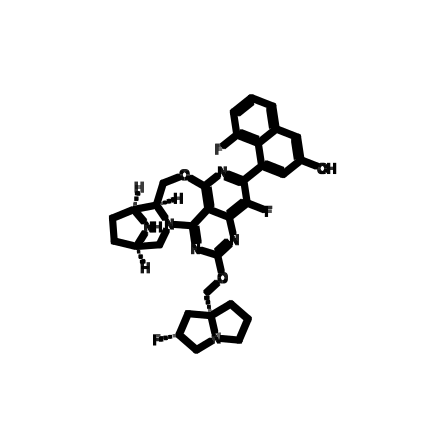 Oc1cc(-c2nc3c4c(nc(OC[C@]56CCCN5C[C@H](F)C6)nc4c2F)N2C[C@H]4CC[C@H](N4)[C@H]2CO3)c2c(F)cccc2c1